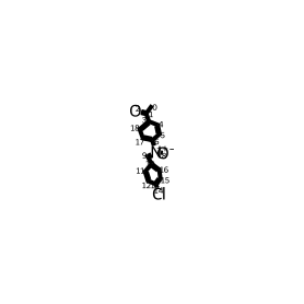 CC(=O)c1ccc([N+]([O-])=Cc2ccc(Cl)cc2)cc1